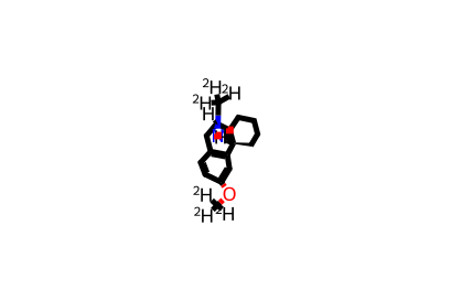 [2H]C([2H])([2H])Oc1ccc2c(c1)[C@@]13CCCC[C@H]1[C@@H](C2)N(C([2H])([2H])[2H])CC3